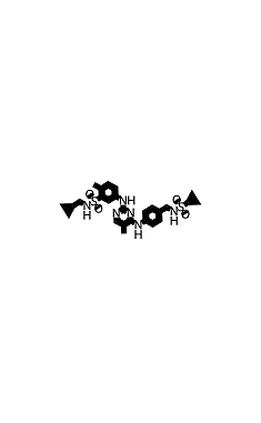 Cc1ccc(Nc2ncc(C)c(Nc3ccc(CNS(=O)(=O)C4CC4)cc3)n2)cc1S(=O)(=O)NCC1CC1